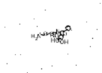 NCCOCCOCC/N=c1/cc(-c2ccccc2)oc2cc(O)c(O)c(O)c12